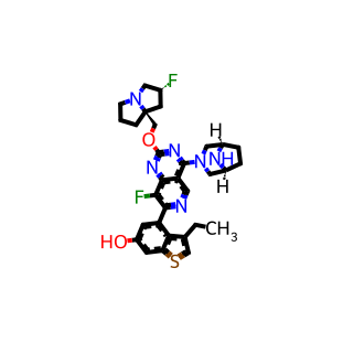 CCc1csc2cc(O)cc(-c3ncc4c(N5C[C@H]6CC[C@@H](C5)N6)nc(OC[C@@]56CCCN5C[C@H](F)C6)nc4c3F)c12